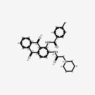 Cc1ccc(C(=O)Nc2c(NC(=O)CN3CCCCC3)ccc3c2C(=O)c2ccccc2C3=O)cc1